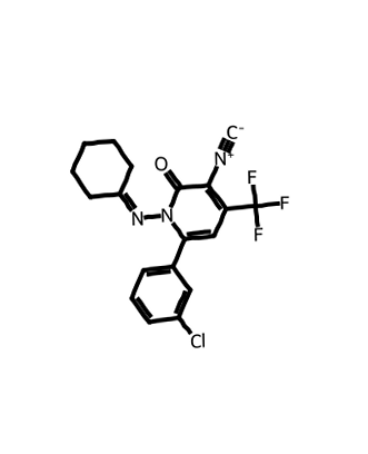 [C-]#[N+]c1c(C(F)(F)F)cc(-c2cccc(Cl)c2)n(N=C2CCCCC2)c1=O